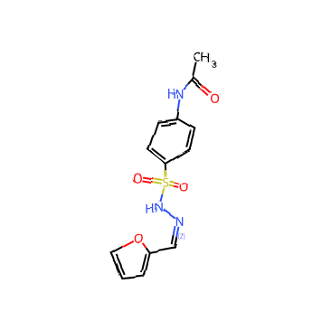 CC(=O)Nc1ccc(S(=O)(=O)N/N=C\c2ccco2)cc1